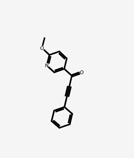 COc1ccc(C(=O)C#Cc2ccccc2)cn1